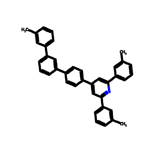 Cc1cccc(-c2cccc(-c3ccc(-c4cc(-c5cccc(C)c5)nc(-c5cccc(C)c5)c4)cc3)c2)c1